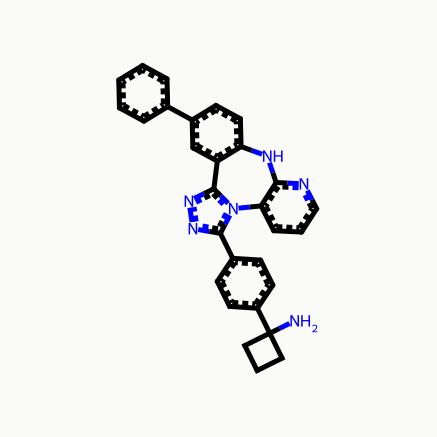 NC1(c2ccc(-c3nnc4n3-c3cccnc3Nc3ccc(-c5ccccc5)cc3-4)cc2)CCC1